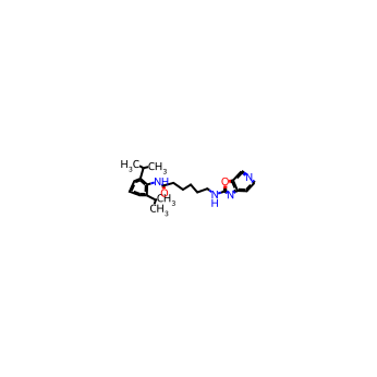 CC(C)c1cccc(C(C)C)c1NC(=O)CCCCCNc1nc2ccncc2o1